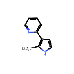 CCOC(=O)c1[nH]ccc1-c1ccccn1